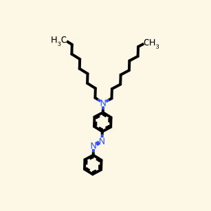 CCCCCCCCCN(CCCCCCCCC)c1ccc(/N=N/c2ccccc2)cc1